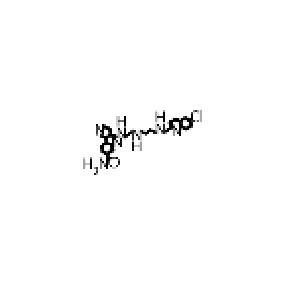 NC(=O)c1ccc2c(c1)nc(NCCNCCCCNCc1ccc3cc(Cl)ccc3n1)c1ccncc12